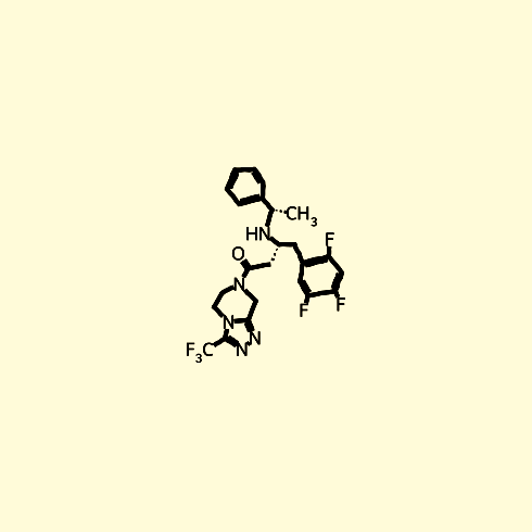 C[C@H](N[C@@H](CC(=O)N1CCn2c(nnc2C(F)(F)F)C1)Cc1cc(F)c(F)cc1F)c1ccccc1